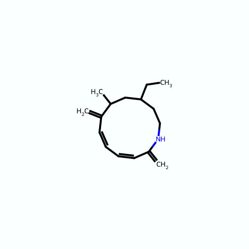 C=C1/C=C\C=C/C(=C)C(C)CC(CC)CCN1